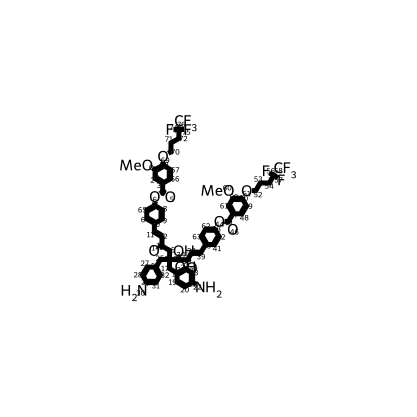 COc1cc(C(=O)Oc2ccc(C=CC(=O)CC(Cc3ccc(N)cc3)(Cc3ccc(N)cc3)C(O)(O)C(=O)C=Cc3ccc(OC(=O)c4ccc(OCCCC(F)(F)C(F)(F)F)c(OC)c4)cc3)cc2)ccc1OCCCC(F)(F)C(F)(F)F